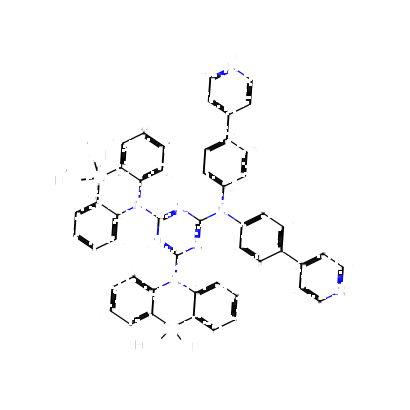 C[Si]1(C)c2ccccc2N(c2nc(N(c3ccc(-c4ccncc4)cc3)c3ccc(-c4ccncc4)cc3)nc(N3c4ccccc4[Si](C)(C)c4ccccc43)n2)c2ccccc21